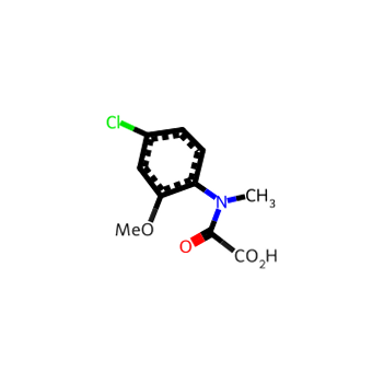 COc1cc(Cl)ccc1N(C)C(=O)C(=O)O